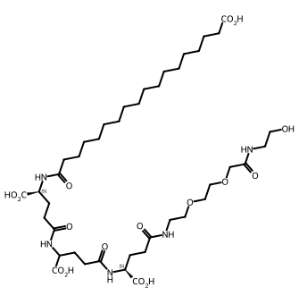 O=C(O)CCCCCCCCCCCCCCCCC(=O)N[C@@H](CCC(=O)NC(CCC(=O)N[C@@H](CCC(=O)NCCOCCOCC(=O)NCCO)C(=O)O)C(=O)O)C(=O)O